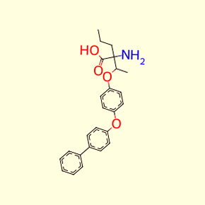 CCCC(N)(C(=O)O)C(C)Oc1ccc(Oc2ccc(-c3ccccc3)cc2)cc1